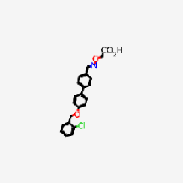 O=C(O)CON=Cc1ccc(-c2ccc(OCc3ccccc3Cl)cc2)cc1